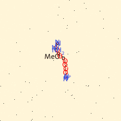 COc1cc(COc2nc(-c3cnn(C)c3)cnc2N)ccc1OCc1ccc(OCCOCCOCCOCCN=[N+]=[N-])cc1